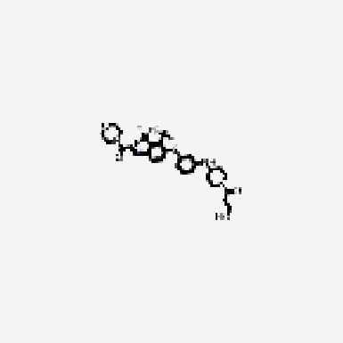 O=C(/C=C/c1ccc(Sc2cccc(NC3CCN(C(=O)CCO)CC3)c2)c(C(F)(F)F)c1C(F)(F)F)N1CCOCC1